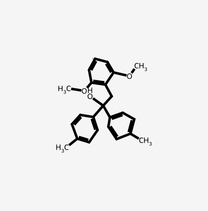 COc1c[c]cc(OC)c1CC(O)(c1ccc(C)cc1)c1ccc(C)cc1